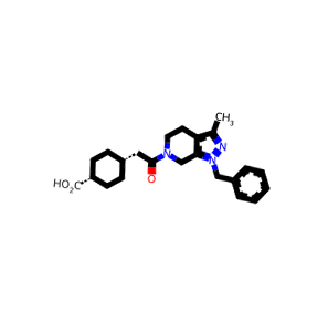 Cc1nn(Cc2ccccc2)c2c1CCN(C(=O)C[C@H]1CC[C@@H](C(=O)O)CC1)C2